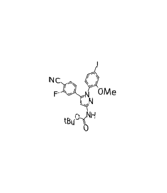 COc1cc(I)ccc1-n1nc(NC(=O)OC(C)(C)C)cc1-c1ccc(C#N)c(F)c1